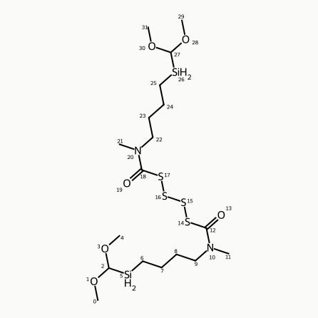 COC(OC)[SiH2]CCCCN(C)C(=O)SSSSC(=O)N(C)CCCC[SiH2]C(OC)OC